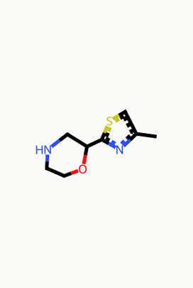 Cc1csc(C2CNCCO2)n1